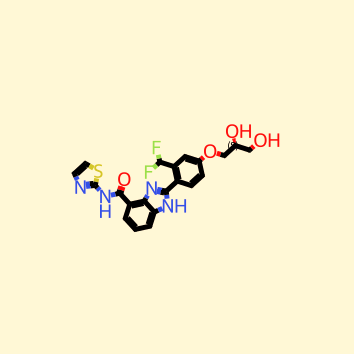 O=C(Nc1nccs1)c1cccc2[nH]c(-c3ccc(OC[C@@H](O)CO)cc3C(F)F)nc12